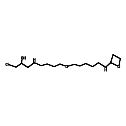 OC(CCl)CNCCCCOCCCCCNC1CCO1